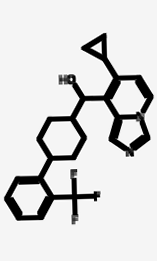 OC(c1c(C2CC2)ccn2cncc12)C1CCC(c2ccccc2C(F)(F)F)CC1